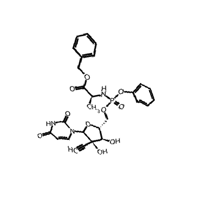 C#C[C@]1(O)C(n2ccc(=O)[nH]c2=O)O[C@H](COP(=O)(N[C@@H](C)C(=O)OCc2ccccc2)Oc2ccccc2)[C@H]1O